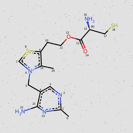 Cc1ncc(C[n+]2csc(CCOC(=O)[C@@H](N)CS)c2C)c(N)n1